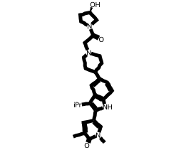 Cc1cc(-c2[nH]c3ccc(C4CCN(CC(=O)N5CC[C@@H](O)C5)CC4)cc3c2C(C)C)cn(C)c1=O